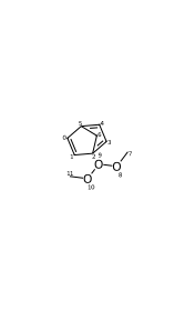 C1=CC2=CC=C1C2.COOOC